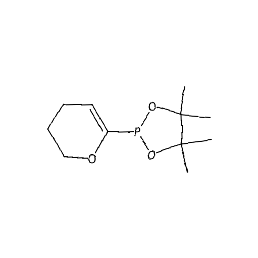 CC1(C)OP(C2=CCCCO2)OC1(C)C